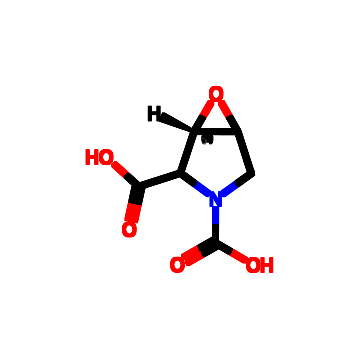 O=C(O)C1[C@@H]2OC2CN1C(=O)O